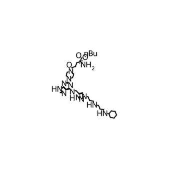 CCCCOC(=O)[C@@H](N)CCC(=O)N1CCN(c2nc(NCc3cn(CCCNCCCNC4CCCCC4)nn3)c3nc[nH]c3n2)CC1